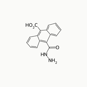 NNC(=O)c1c2ccccc2c(C(=O)O)c2ccccc12